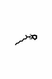 CCCCCCCC(C)c1nc2ccccc2s1